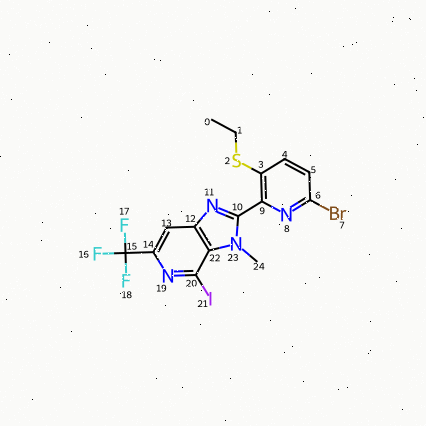 CCSc1ccc(Br)nc1-c1nc2cc(C(F)(F)F)nc(I)c2n1C